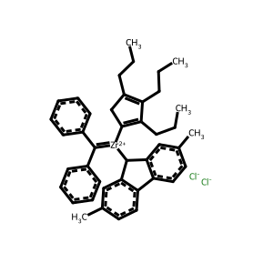 CCCC1=C(CCC)C(CCC)=[C]([Zr+2](=[C](c2ccccc2)c2ccccc2)[CH]2c3cc(C)ccc3-c3ccc(C)cc32)C1.[Cl-].[Cl-]